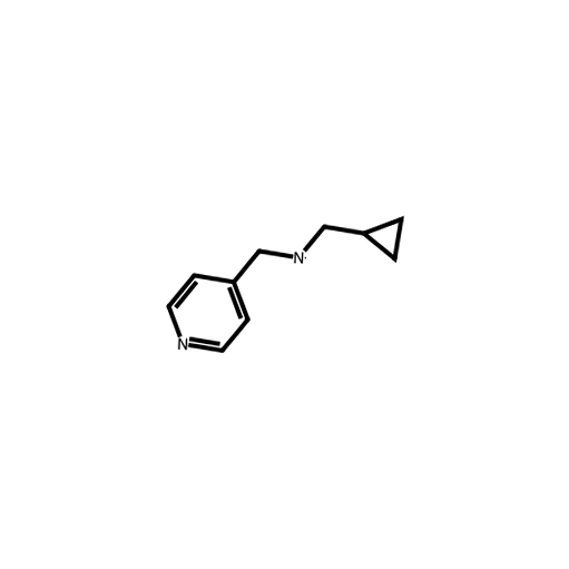 c1cc(C[N]CC2CC2)ccn1